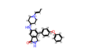 CC=CN1CCC(Nc2cc3c(c(-c4ccc(Oc5ccccc5)cc4)c2)CNC3=O)CC1